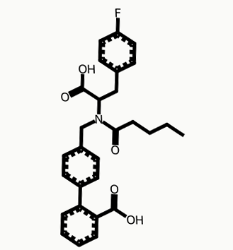 CCCCC(=O)N(Cc1ccc(-c2ccccc2C(=O)O)cc1)C(Cc1ccc(F)cc1)C(=O)O